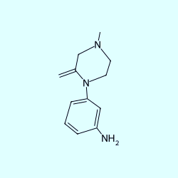 C=C1CN(C)CCN1c1cccc(N)c1